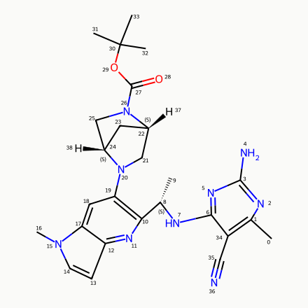 Cc1nc(N)nc(N[C@@H](C)c2nc3ccn(C)c3cc2N2C[C@@H]3C[C@H]2CN3C(=O)OC(C)(C)C)c1C#N